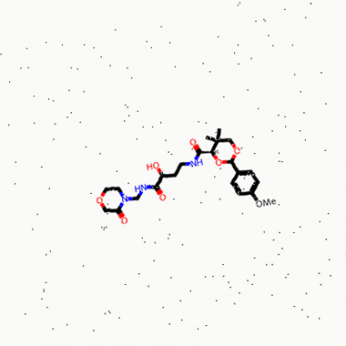 COc1ccc(C2OCC(C)(C)[C@H](C(=O)NCCC(O)C(=O)NCN3CCOCC3=O)O2)cc1